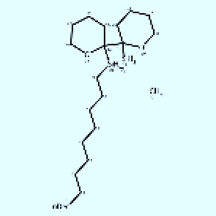 C.CCCCCCCCCCCCCCCCCC[SiH](C)C1(C2([SiH3])CCCCO2)CCCCO1